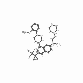 COc1ccccc1C1CCN(c2nc(C3(C(F)(F)F)CC3)nc3ccc(N(C)CCN4CCOCC4)cc23)CC1